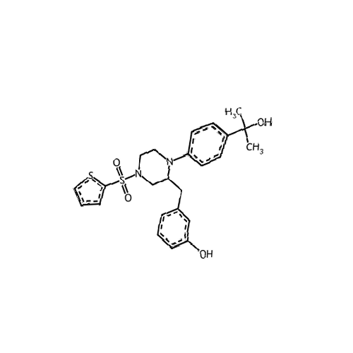 CC(C)(O)c1ccc(N2CCN(S(=O)(=O)c3cccs3)CC2Cc2cccc(O)c2)cc1